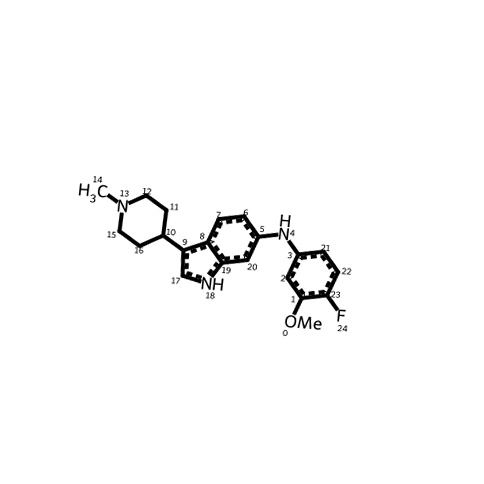 COc1cc(Nc2ccc3c(C4CCN(C)CC4)c[nH]c3c2)ccc1F